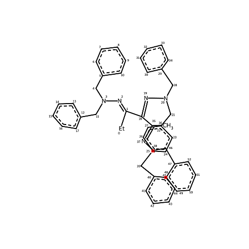 CCC(=NN(Cc1ccccc1)Cc1ccccc1)C(=NN(Cc1ccccc1)Cc1ccccc1)C(C)=NN(Cc1ccccc1)Cc1ccccc1